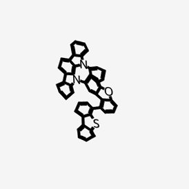 c1ccc(-n2c3ccccc3c3ccc4c5ccccc5n(-c5ccc6oc7cccc(-c8cccc9c8sc8ccccc89)c7c6c5)c4c32)cc1